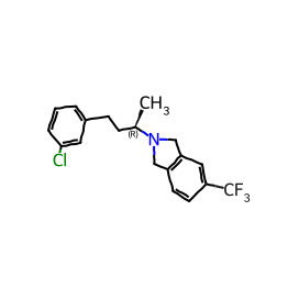 C[C@H](CCc1cccc(Cl)c1)N1Cc2ccc(C(F)(F)F)cc2C1